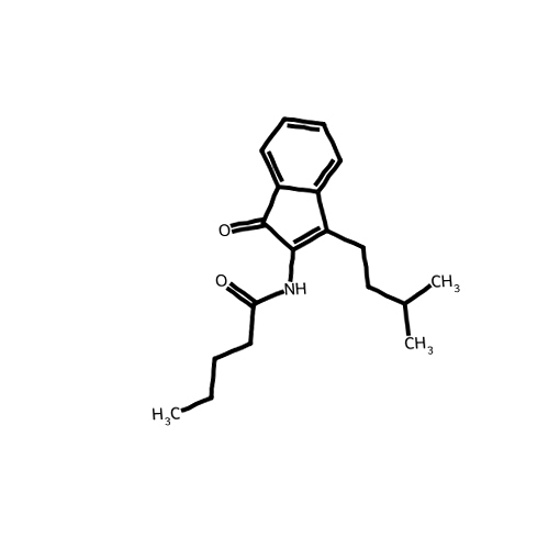 CCCCC(=O)NC1=C(CCC(C)C)c2ccccc2C1=O